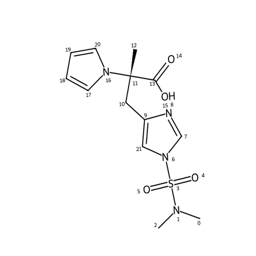 CN(C)S(=O)(=O)n1cnc(C[C@@](C)(C(=O)O)n2cccc2)c1